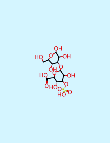 O=C(O)C1O[C@@H](OC2C(O)[C@H](O)OC(CO)[C@@H]2O)C(O)C(OS(=O)(=O)O)[C@@H]1O